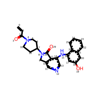 C=CC(=O)N1CCC(N2Cc3cncc(Nc4cc(O)cc5ccccc45)c3C2=O)CC1